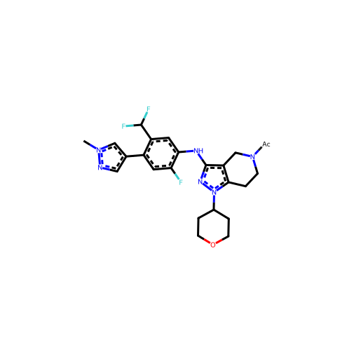 CC(=O)N1CCc2c(c(Nc3cc(C(F)F)c(-c4cnn(C)c4)cc3F)nn2C2CCOCC2)C1